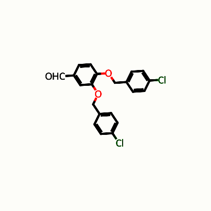 O=Cc1ccc(OCc2ccc(Cl)cc2)c(OCc2ccc(Cl)cc2)c1